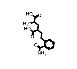 CC(CC(CCc1ccccc1C(N)=O)C(=O)O)C(=O)O